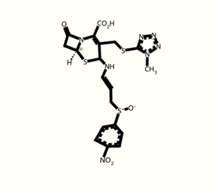 Cn1nnnc1SCC1=C(C(=O)O)N2C(=O)C[C@@H]2SC1NC=CC[S+]([O-])c1ccc([N+](=O)[O-])cc1